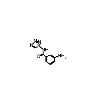 Nc1cccc(C(=O)Nn2cnnn2)c1